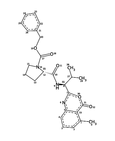 Cc1cccc2nc([C@@H](NC(=O)[C@@H]3CCCN3C(=O)OCc3ccccc3)C(C)C)oc(=O)c12